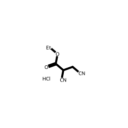 CCOC(=O)C(C#N)CC#N.Cl